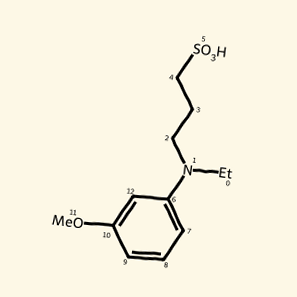 CCN(CCCS(=O)(=O)O)c1cccc(OC)c1